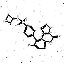 O=c1[nH]c2ccc(O)c(-c3ccc(S(=O)(=O)NC4CNC4)cc3)c2c2ccsc12